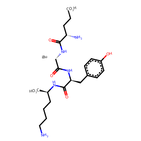 CC[C@H](C)[C@H](NC(=O)[C@@H](N)CCC(=O)O)C(=O)N[C@@H](Cc1ccc(O)cc1)C(=O)N[C@@H](CCCCN)C(=O)O